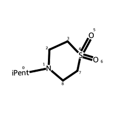 CCCC(C)N1CCS(=O)(=O)CC1